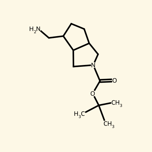 CC(C)(C)OC(=O)N1CC2CCC(CN)C2C1